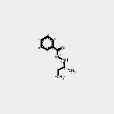 [CH2]C[C@@H](C)NNC(=O)c1ccccc1